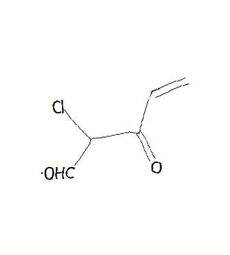 C=CC(=O)C(Cl)[C]=O